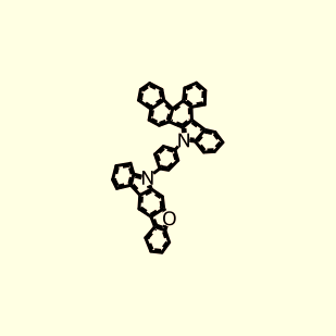 c1ccc2c(c1)ccc1c2c2ccccc2c2c3ccccc3n(-c3ccc(-n4c5ccccc5c5cc6c(cc54)oc4ccccc46)cc3)c12